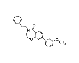 COc1cccc(-c2ccc3c(c2)OCCN(CCc2ccccc2)C3=O)c1